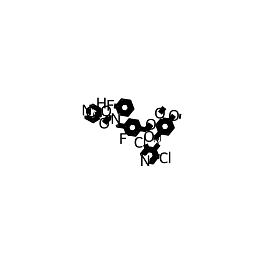 COc1ccc([C@H](Cc2c(Cl)cncc2Cl)OC(=O)c2ccc(CN(C(=O)O[C@H]3CN4CCC3CC4)c3ccccc3F)c(F)c2)cc1OC